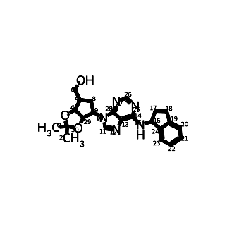 CC1(C)OC2C(CO)CC(n3cnc4c(NC5CCc6ccccc65)ncnc43)C2O1